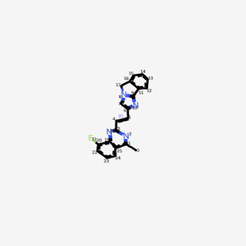 Cc1nc(/C=C/c2cn3c(n2)-c2ccccc2C3)nc2c(F)cccc12